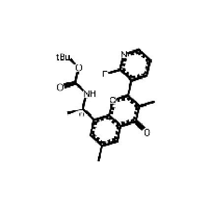 Cc1cc([C@@H](C)NC(=O)OC(C)(C)C)c2oc(-c3cccnc3F)c(C)c(=O)c2c1